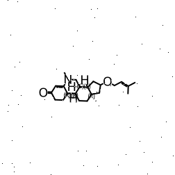 CC(C)=CCOC1C[C@H]2[C@@H]3CN(C)C4=CC(=O)CC[C@]4(C)[C@@H]3CC[C@]2(C)C1